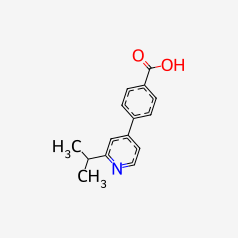 CC(C)c1cc(-c2ccc(C(=O)O)cc2)ccn1